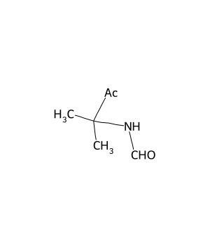 CC(=O)C(C)(C)NC=O